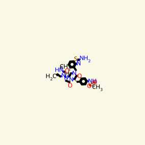 C=CCN(C(=O)NC)N1CC(=O)N2[C@@H](Cc3ccc(NS(C)(=O)=O)cc3)C(=O)N(Cc3cccc4sc(N)nc34)C[C@@H]21